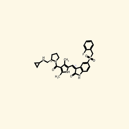 Cc1[nH]c(/C=C2\C(=O)Nc3ccc(S(=O)(=O)Cc4ccccc4F)cc32)c(C)c1C(=O)N1CCC[C@@H]1CNC1CC1